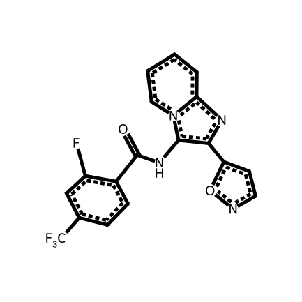 O=C(Nc1c(-c2ccno2)nc2ccccn12)c1ccc(C(F)(F)F)cc1F